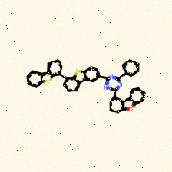 c1ccc(-c2nc(-c3ccc4sc5c(-c6cccc7c6sc6ccccc67)cccc5c4c3)nc(-c3cccc4oc5ccccc5c34)n2)cc1